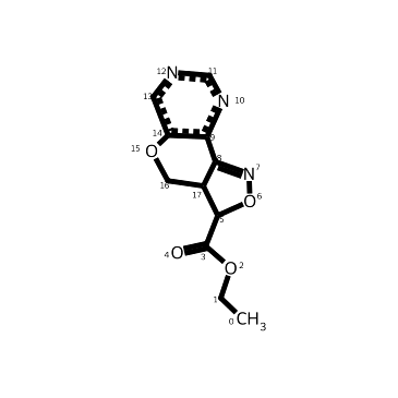 CCOC(=O)C1ON=C2c3ncncc3OCC21